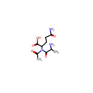 CC(=O)N(C(=O)C(C)N)C(CCC(N)=O)C(=O)O